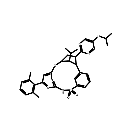 Cc1cccc(C)c1-c1cc2nc(n1)NS(=O)(=O)c1cccc(c1)C1C(c3ncc(OC(C)C)cn3)CC(O2)C1C(C)C